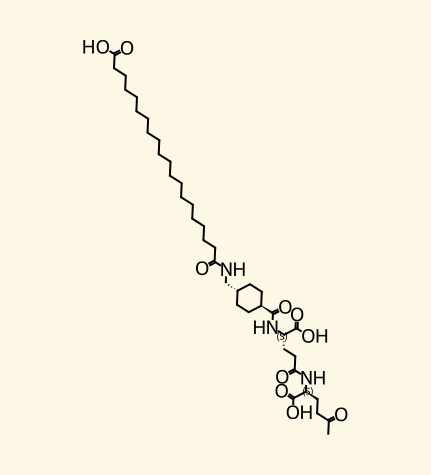 CC(=O)CC[C@H](NC(=O)CC[C@H](NC(=O)[C@H]1CC[C@H](CNC(=O)CCCCCCCCCCCCCCCCCCC(=O)O)CC1)C(=O)O)C(=O)O